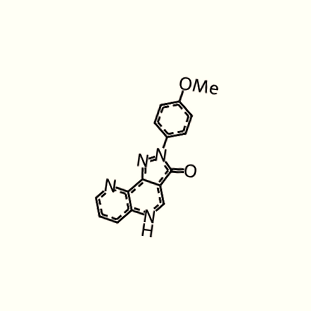 COc1ccc(-n2nc3c4ncccc4[nH]cc-3c2=O)cc1